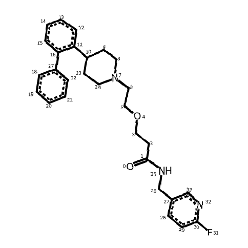 O=C(CCOCCN1CCC(c2ccccc2-c2ccccc2)CC1)NCc1ccc(F)nc1